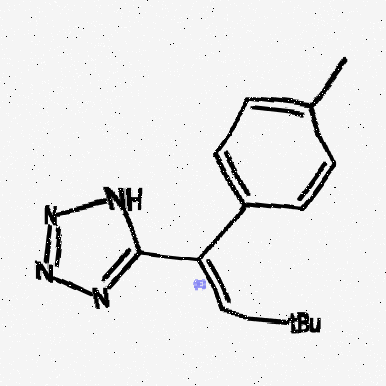 Cc1ccc(/C(=C\C(C)(C)C)c2nnn[nH]2)cc1